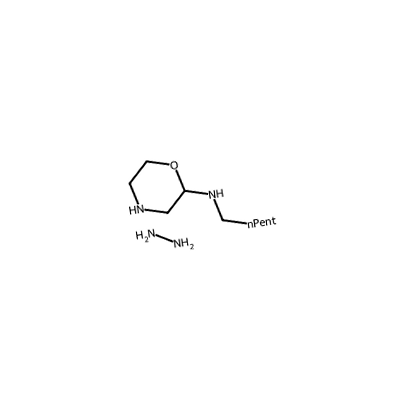 CCCCCCNC1CNCCO1.NN